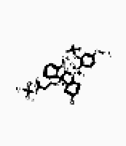 COc1ccc(S(=O)(=O)N2C(=O)C(NCCC(=O)OC(C)(C)C)(c3ccccc3OC)c3cc(Cl)ccc32)c(OC(F)(F)F)c1